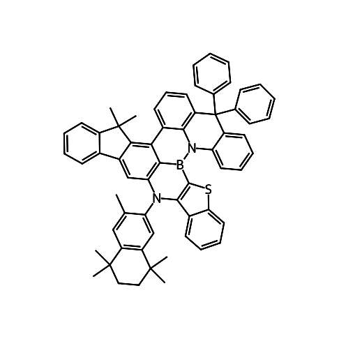 Cc1cc2c(cc1N1c3cc4c(c5c3B(c3sc6ccccc6c31)N1c3ccccc3C(c3ccccc3)(c3ccccc3)c3cccc-5c31)C(C)(C)c1ccccc1-4)C(C)(C)CCC2(C)C